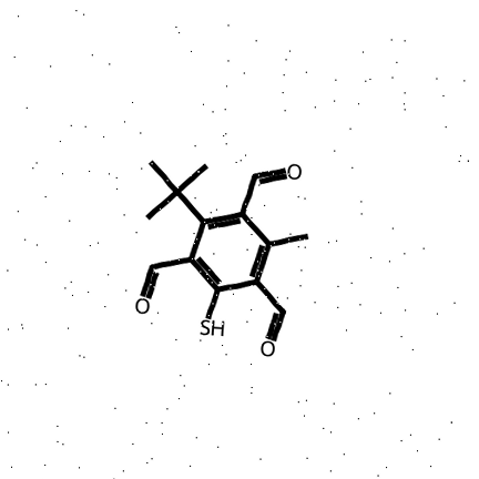 Cc1c(C=O)c(S)c(C=O)c(C(C)(C)C)c1C=O